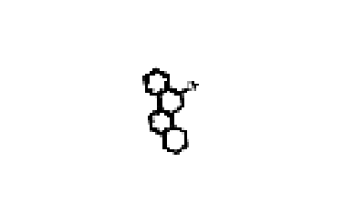 BrC1=c2ccccc2=c2ccc3c(c2C1)CCCC=3